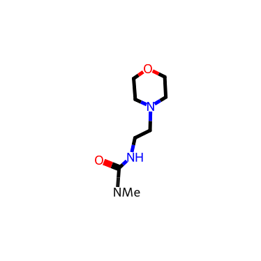 CNC(=O)NCCN1CCOCC1